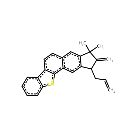 C=CCC1C(=C)C(C)(C)c2cc3ccc4c5ccccc5sc4c3cc21